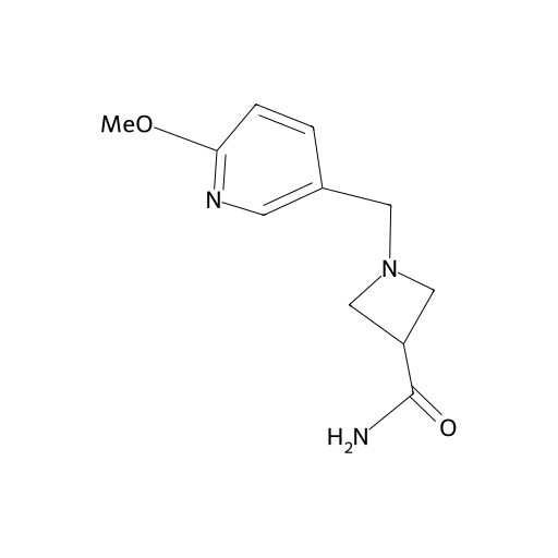 COc1ccc(CN2CC(C(N)=O)C2)cn1